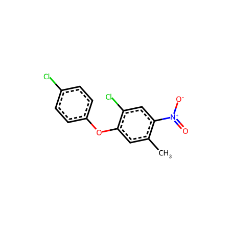 Cc1cc(Oc2ccc(Cl)cc2)c(Cl)cc1[N+](=O)[O-]